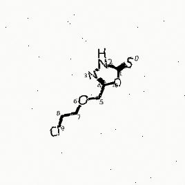 S=c1[nH]nc(COCCCl)o1